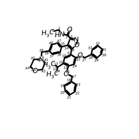 CCNC(=O)c1noc(-c2cc(C(C)C)c(OCc3ccccc3)cc2OCc2ccccc2)c1-c1ccc(CN2CCOCC2)cc1